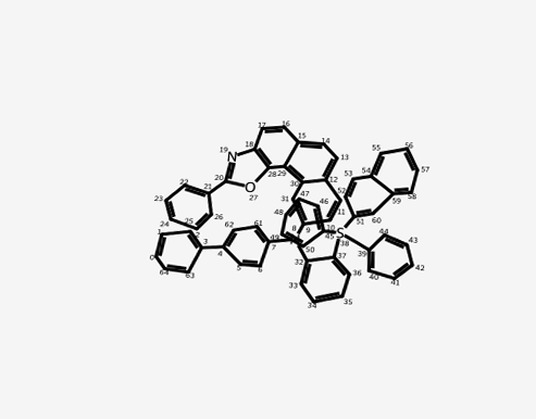 c1ccc(-c2ccc(N(c3ccc4ccc5ccc6nc(-c7ccccc7)oc6c5c4c3)c3ccccc3S(c3ccccc3)(c3ccccc3)c3ccc4ccccc4c3)cc2)cc1